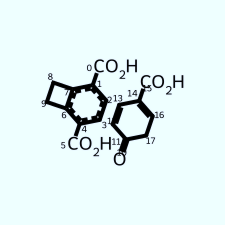 O=C(O)c1ccc(C(=O)O)c2c1CC2.O=C1C=CC(C(=O)O)=CC1